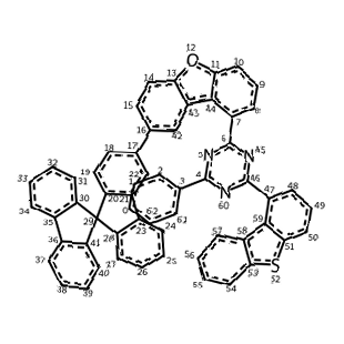 c1ccc(-c2nc(-c3cccc4oc5ccc(-c6ccc7c(c6)-c6ccccc6C76c7ccccc7-c7ccccc76)cc5c34)nc(-c3cccc4sc5ccccc5c34)n2)cc1